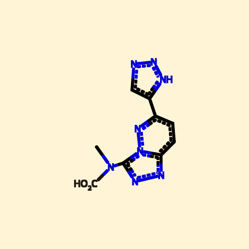 CN(C(=O)O)c1nnc2ccc(-c3cnn[nH]3)nn12